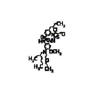 CCCCc1ccc(S(=O)(=O)Nc2cc(N(CCOCCC)CC(CC)CCCC)c(OC)cc2/N=N/c2nc(Cl)c(C=O)s2)cc1